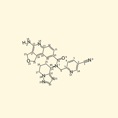 N#Cc1ccc(CN(C(=O)c2ccc3nc(N)c4c(c3c2)COC4)[C@@H]2CCCn3ncnc32)nc1